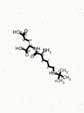 CC(C)(C)NCCCC[C@H](N)C(=O)N[C@@H](CCC(=O)O)C(=O)O